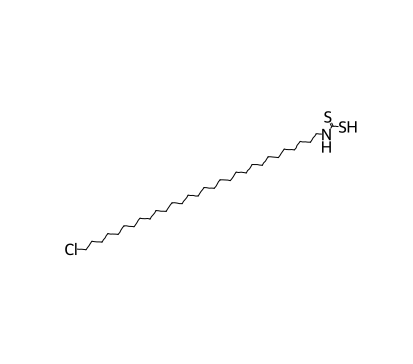 S=C(S)NCCCCCCCCCCCCCCCCCCCCCCCCCCCCCCCl